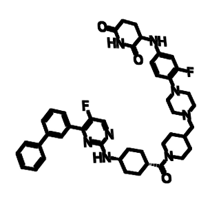 O=C1CCC(Nc2ccc(N3CCN(CC4CCN(C(=O)[C@H]5CC[C@H](Nc6ncc(F)c(-c7cccc(-c8ccccc8)c7)n6)CC5)CC4)CC3)c(F)c2)C(=O)N1